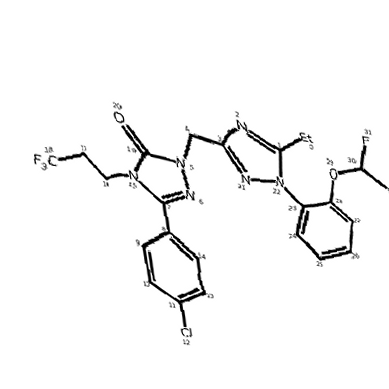 CCc1nc(Cn2nc(-c3ccc(Cl)cc3)n(CCC(F)(F)F)c2=O)nn1-c1ccccc1OC(F)F